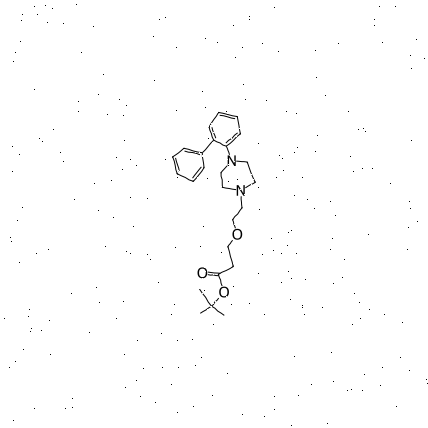 CC(C)(C)OC(=O)CCOCCN1CCN(c2ccccc2-c2ccccc2)CC1